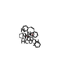 O=C(O)[C@@H]1[C@H]2CC[C@@H](CN1C(=O)OCc1ccccc1)N2C(=O)N1c2ccccc2C=Cc2ccccc21